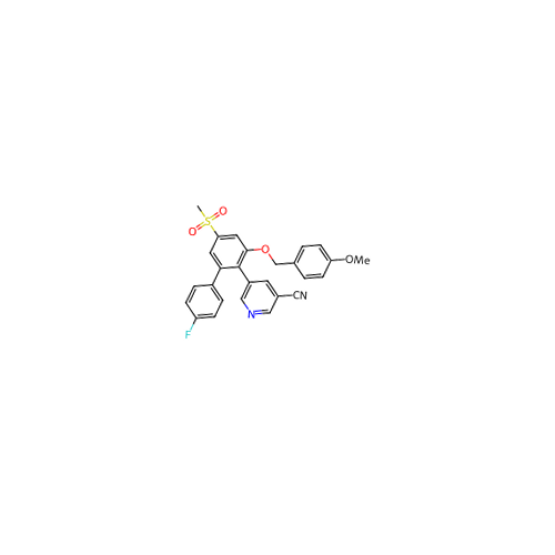 COc1ccc(COc2cc(S(C)(=O)=O)cc(-c3ccc(F)cc3)c2-c2cncc(C#N)c2)cc1